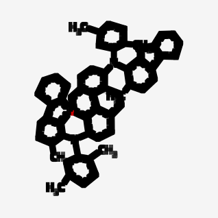 Cc1ccc(C)c(N(c2ccc3ccc4c(N(c5cc(C)ccc5C)c5c(C)ccc6c5oc5ccccc56)ccc5ccc2c3c54)c2c(C)ccc3c2oc2ccccc23)c1